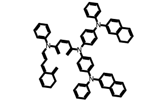 C=C1CCC=C/C1=C/C=C/N(C(=C)/C=C\C(=C)N(c1ccc(N(c2ccccc2)c2ccc3c(c2)CCC=C3)cc1)c1ccc(N(c2ccccc2)c2ccc3ccccc3c2)cc1)c1ccccc1